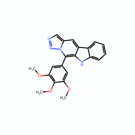 COc1cc(-c2c3[nH]c4ccccc4c3cc3cnnn23)cc(OC)c1OC